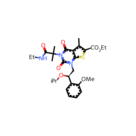 CCNC(=O)C(C)(C)n1c(=O)c2c(C)c(C(=O)OCC)sc2n(C[C@H](OC(C)C)c2ccccc2OC)c1=O